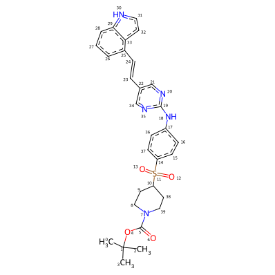 CC(C)(C)OC(=O)N1CCC(S(=O)(=O)c2ccc(Nc3ncc(/C=C/c4cccc5[nH]ccc45)cn3)cc2)CC1